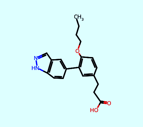 CCCCOc1ccc(CCC(=O)O)cc1-c1ccc2[nH]ncc2c1